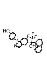 Oc1ccc(-n2ncc3cc(C(O)(c4cccc5ccccc45)C(F)(F)F)ccc32)cc1